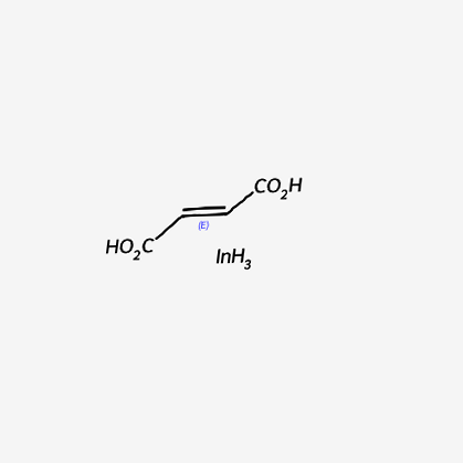 O=C(O)/C=C/C(=O)O.[InH3]